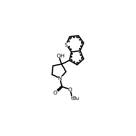 CC(C)(C)OC(=O)N1CCC(O)(c2ccc3cccsc2-3)C1